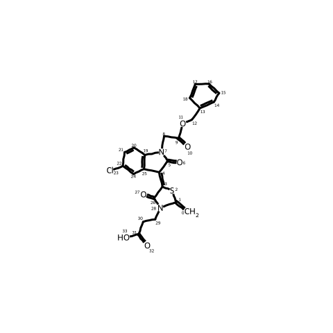 C=c1s/c(=C2\C(=O)N(CC(=O)OCc3ccccc3)c3ccc(Cl)cc32)c(=O)n1CCC(=O)O